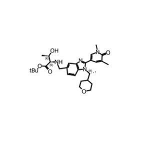 Cc1cc(-c2nc3cc(CN[C@@H](C(=O)OC(C)(C)C)[C@@H](C)O)ccc3n2[C@H](C)C2CCOCC2)cn(C)c1=O